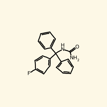 NC(=O)NC(c1ccccc1)(c1ccccc1)c1ccc(F)cc1